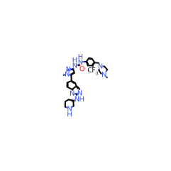 CN1CCN(Cc2ccc(NC(=O)Nc3cc(-c4ccc5nc(N[C@H]6CCCNC6)ncc5c4)n(C)n3)cc2C(F)(F)F)CC1